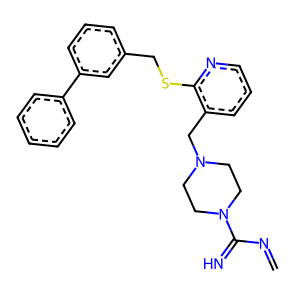 C=NC(=N)N1CCN(Cc2cccnc2SCc2cccc(-c3ccccc3)c2)CC1